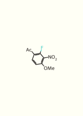 COc1ccc(C(C)=O)c(F)c1[N+](=O)[O-]